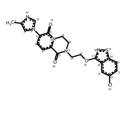 Cc1cn(-c2ccc3n(c2=O)CCN(CCOc2nsc4ccc(Cl)cc24)C3=O)cn1